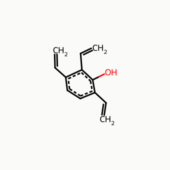 C=Cc1ccc(C=C)c(C=C)c1O